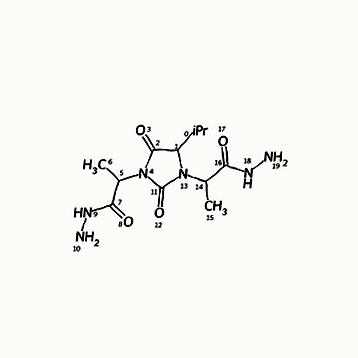 CC(C)C1C(=O)N(C(C)C(=O)NN)C(=O)N1C(C)C(=O)NN